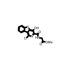 COC(=O)CNC(=O)c1nc(Cl)c2c(sc3ccccc32)c1O